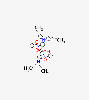 CCCCCN(CCCCC)c1ccc(C2=C(O)/C(=C3\C=CC(=[N+](c4ccc(CCCC)cc4)c4ccc(CCCC)cc4)C=C3NC(=O)c3ccccc3)C2=O)c(NC(=O)c2ccccc2)c1